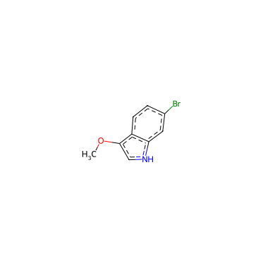 COc1c[nH]c2cc(Br)ccc12